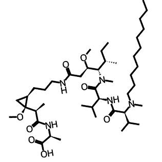 CCCCCCCCCCCN(C)[C@H](C(=O)N[C@H](C(=O)N(C)[C@@H]([C@@H](C)CC)[C@@H](CC(=O)NCCC[C@@H]1C[C@@]1(OC)[C@@H](C)C(=O)N[C@@H](C)C(=O)O)OC)C(C)C)C(C)C